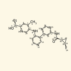 CC[C@H](O)c1cc(C)c(Nc2ccncc2-c2cc(NC(=O)[C@H]3C[C@H]3F)ncn2)cn1